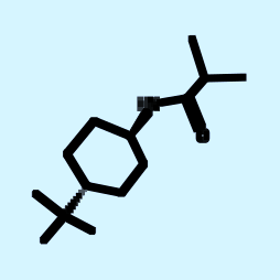 CC(C)C(=O)N[C@H]1CC[C@H](C(C)(C)C)CC1